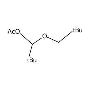 CC(=O)OC(OCC(C)(C)C)C(C)(C)C